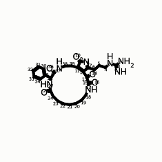 N=C(N)NCCCC1=NC(=O)C2=C1C(=O)C(=O)NCCCCCCCC(=O)NC(c1ccccc1)C(=O)NCC2